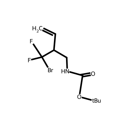 C=CC(CNC(=O)OC(C)(C)C)C(F)(F)Br